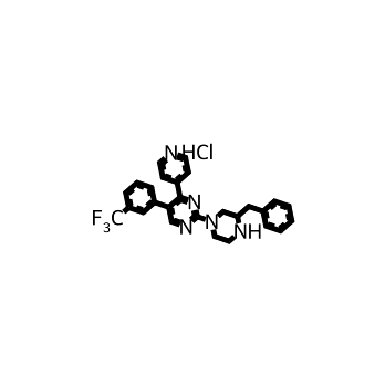 Cl.FC(F)(F)c1cccc(-c2cnc(N3CCNC(Cc4ccccc4)C3)nc2-c2ccncc2)c1